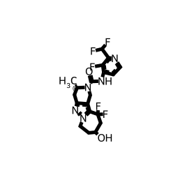 C[C@@H]1Cc2nn3c(c2CN1C(=O)Nc1ccnc(C(F)F)c1F)C(F)(F)CC(O)CC3